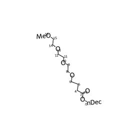 CCCCCCCCCCOC(=O)CCCOCCOCCOCCOC